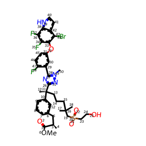 COC(=O)[C@H](C)Cc1cccc([C@@](C)(CCCC(C)(C)CS(=O)(=O)CCO)c2nc(-c3cc(Oc4c(F)c(F)c5[nH]ccc5c4Br)ccc3F)n(C)n2)c1